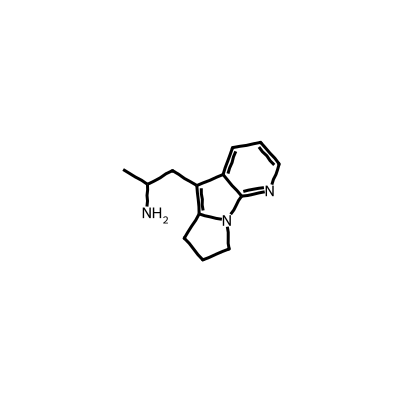 CC(N)Cc1c2n(c3ncccc13)CCC2